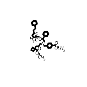 CCOC(=O)C1(CCCN(Cc2ccc(C(=O)OC)cc2)CC(OCC2(C)CC=C(CCc3ccccc3)S2)c2ccccc2)CCC1